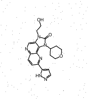 O=c1n(CCO)c2cnc3ccc(-c4ccn[nH]4)nc3c2n1C1CCOCC1